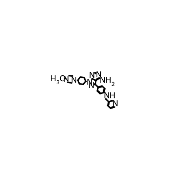 CN1CCN([C@H]2CC[C@@H](n3nc(-c4ccc(NCc5cccnc5)cc4)c4c(N)ncnc43)CC2)CC1